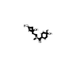 CN(CCC1(O)CC(O)C1)C(=O)C1CCC(C)(O)CC1